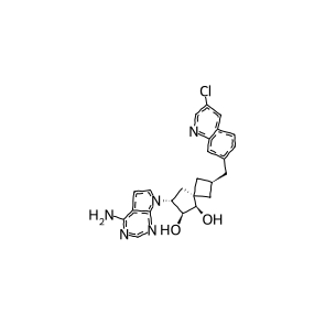 Nc1ncnc2c1ccn2[C@@H]1C[C@]2(C[C@H](Cc3ccc4cc(Cl)cnc4c3)C2)[C@@H](O)[C@H]1O